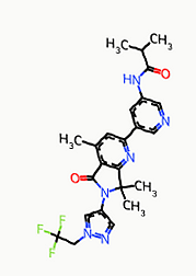 Cc1cc(-c2cncc(NC(=O)C(C)C)c2)nc2c1C(=O)N(c1cnn(CC(F)(F)F)c1)C2(C)C